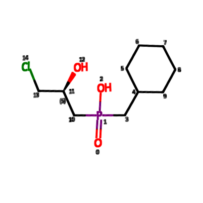 O=P(O)(CC1CCCCC1)C[C@H](O)CCl